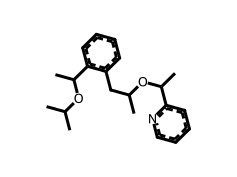 CC(C)OC(C)c1ccccc1CC(C)OC(C)c1ccccn1